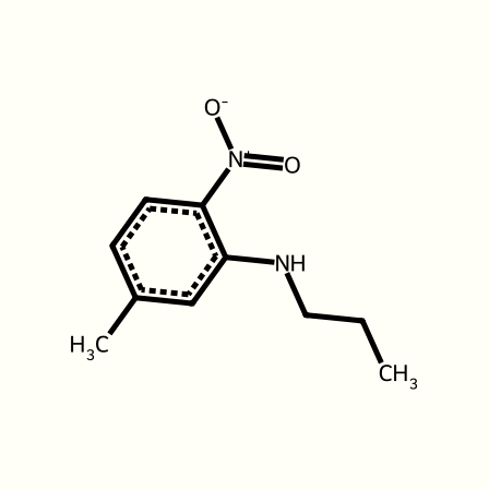 CCCNc1cc(C)ccc1[N+](=O)[O-]